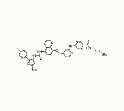 Cc1ccc(-n2nc(C(C)(C)C)cc2NC(=O)Nc2ccc(OCc3ccnc(Nc4cnc(C(=O)NCCOC(C)(C)C)cn4)c3)c3ccccc23)cc1